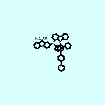 CC1(C)c2ccccc2-c2ccc(N(c3cccc(-c4ccccc4)c3)c3cccc4c5ccccc5n(-c5ccc(-c6ccc(-c7ccccc7)cc6)cc5)c34)cc21